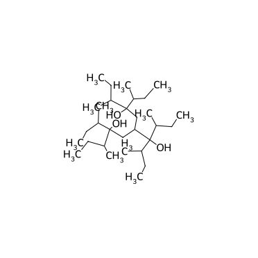 CCC(C)C(O)(CC(CC(O)(C(C)CC)C(C)CC)C(O)(C(C)CC)C(C)CC)C(C)CC